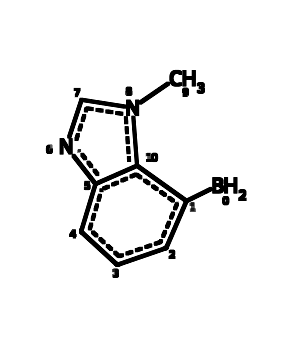 Bc1cccc2ncn(C)c12